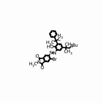 CN1C(=O)c2cc(Br)c(/N=N/c3cc(C(C)(C)CC(C)(C)C)cc(C(C)(C)c4ccccc4)c3O)cc2C1=O